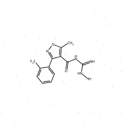 Cc1onc(-c2ccccc2C(F)(F)F)c1C(=O)NC(=N)NC(C)C